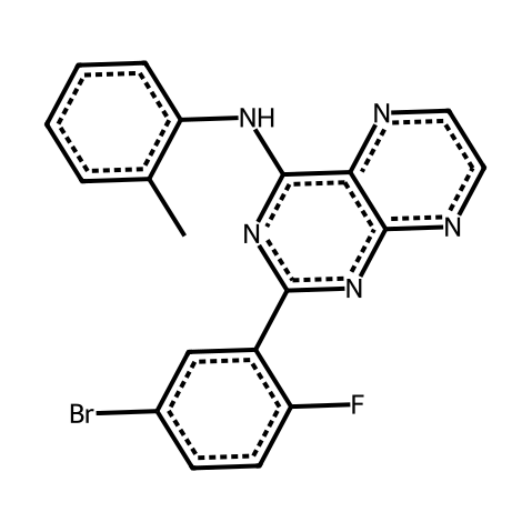 Cc1ccccc1Nc1nc(-c2cc(Br)ccc2F)nc2nccnc12